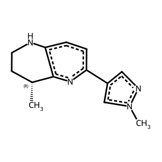 C[C@@H]1CCNc2ccc(-c3cnn(C)c3)nc21